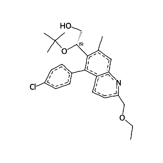 CCOCc1ccc2c(-c3ccc(Cl)cc3)c([C@@H](CO)OC(C)(C)C)c(C)cc2n1